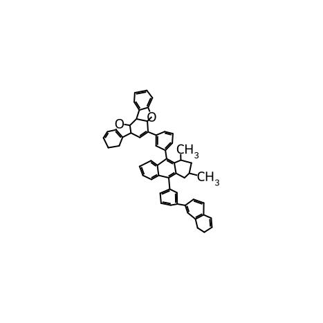 CC1Cc2c(c(-c3cccc(C4=CC5C6=C(C=CCC6)OC5C5c6ccccc6OC45)c3)c3ccccc3c2-c2cccc(-c3ccc4c(c3)CCC=C4)c2)C(C)C1